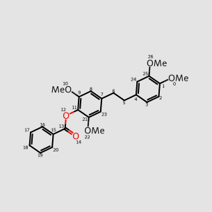 COc1ccc(CCc2cc(OC)c(OC(=O)c3ccccc3)c(OC)c2)cc1OC